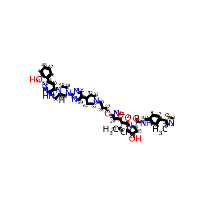 Cc1ncsc1-c1ccc(CNC(=O)[C@@H]2C[C@@H](O)CN2C(=O)[C@@H](c2cc(OCCCN3CCC(c4cnc(N5CCN6c7cc(-c8ccccc8O)nnc7NC[C@H]6C5)nc4)CC3)no2)C(C)C)cc1